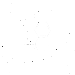 CCN(C(=O)O)c1ccncc1